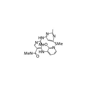 CNC(=O)c1cnc(Nc2cc(SC)nc(C)n2)cc1Nc1cccnc1OC